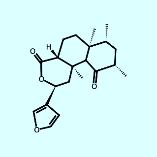 C[C@@H]1C[C@H](C)C(=O)C2[C@@]1(C)CC[C@H]1C(=O)O[C@H](c3ccoc3)C[C@]21C